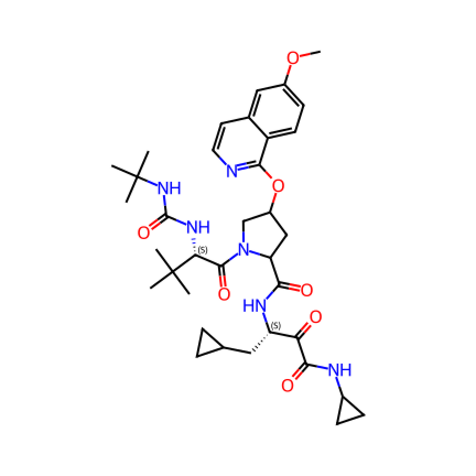 COc1ccc2c(OC3CC(C(=O)N[C@@H](CC4CC4)C(=O)C(=O)NC4CC4)N(C(=O)[C@@H](NC(=O)NC(C)(C)C)C(C)(C)C)C3)nccc2c1